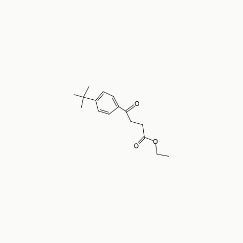 CCOC(=O)CCC(=O)c1ccc(C(C)(C)C)cc1